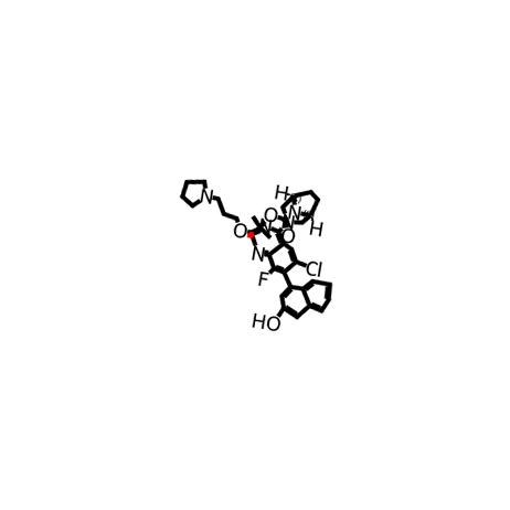 CC(C)(C)OC(=O)N1[C@@H]2CC[C@H]1CN(c1nc(OCCCN3CCCC3)nc3c(F)c(-c4cc(O)cc5ccccc45)c(Cl)cc13)C2